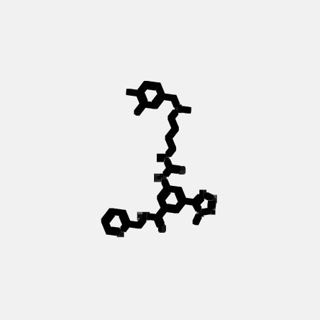 Cc1ccc(CN(C)CCCCNC(=O)Nc2cc(C(=O)NCc3ccccn3)cc(-c3nnnn3C)c2)cc1C